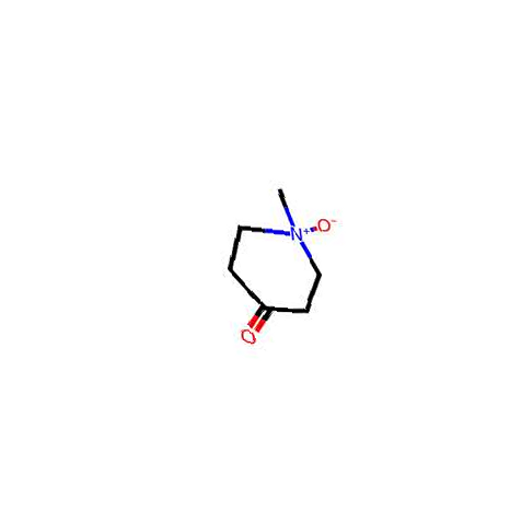 C[N+]1([O-])CCC(=O)CC1